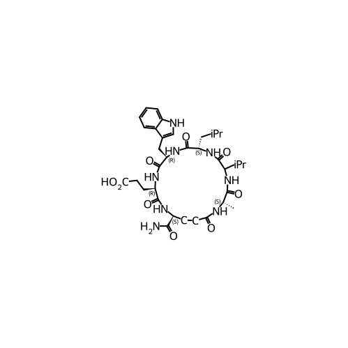 CC(C)C[C@@H]1NC(=O)C(C(C)C)NC(=O)[C@H](C)NC(=O)CC[C@@H](C(N)=O)NC(=O)[C@@H](CCC(=O)O)NC(=O)[C@@H](Cc2c[nH]c3ccccc23)NC1=O